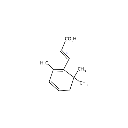 CC1=C(/C=C/C(=O)O)C(C)(C)CC=C1